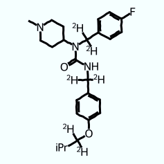 [2H]C([2H])(NC(=O)N(C1CCN(C)CC1)C([2H])([2H])c1ccc(F)cc1)c1ccc(OC([2H])([2H])C(C)C)cc1